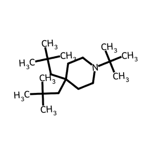 CC(C)(C)CC1(CC(C)(C)C)CCN(C(C)(C)C)CC1